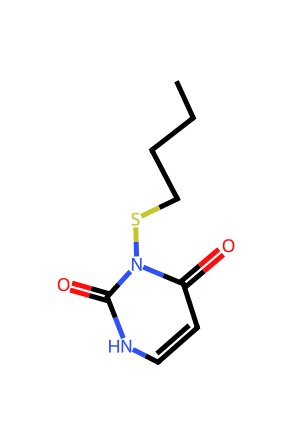 CCCCSn1c(=O)cc[nH]c1=O